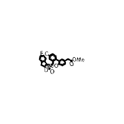 COC(=O)Cc1ccc(OC)c(-c2ccc(C(F)(F)F)cc2CN2C(=O)OC3Cc4ccccc4C32)c1